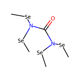 C[Se]N([Se]C)C(=O)N([Se]C)[Se]C